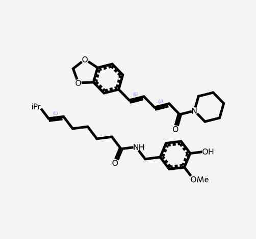 COc1cc(CNC(=O)CCCC/C=C/C(C)C)ccc1O.O=C(/C=C/C=C/c1ccc2c(c1)OCO2)N1CCCCC1